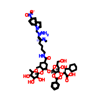 C=N/C(=C\N(N)Cn1ccc2cc([N+](=O)[O-])ccc21)CCCCNC(=O)C1CC(C)C(O[C@@H]2OC(C)[C@@H](O)C(O)C2O)[C@H](O[C@@H]2OC(CO)[C@H](O)C(O[C@@H](CC3CCCCC3)C(=O)O)C2OC(=O)c2ccccc2)C1